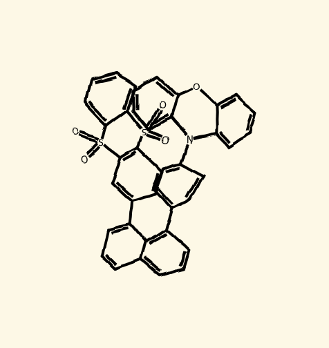 O=S1(=O)c2ccccc2S(=O)(=O)c2cc(-c3cccc4cccc(-c5ccc(N6c7ccccc7Oc7ccccc76)cc5)c34)ccc21